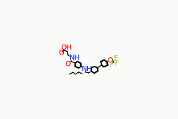 CCCCC[C@@H](Cc1ccc(-c2ccc(OC(F)(F)F)cc2)cc1)Nc1ccc(C(=O)NCCC(=O)O)cc1